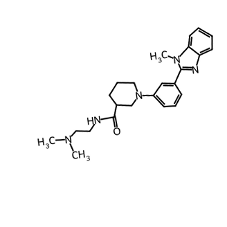 CN(C)CCNC(=O)C1CCCN(c2cccc(-c3nc4ccccc4n3C)c2)C1